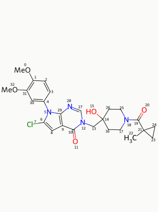 COc1ccc(-n2c(Cl)cc3c(=O)n(CC4(O)CCN(C(=O)C5(C)CC5)CC4)cnc32)cc1OC